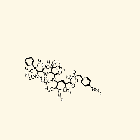 CNC(C(=O)NC(C(=O)N(C)C(C=C(C)C(=O)NS(=O)(=O)Cc1ccc(N)cc1)C(C)C)C(C)(C)C)C(C)(C)c1ccccc1